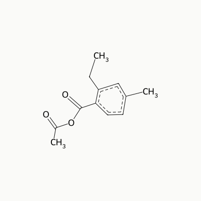 CCc1cc(C)ccc1C(=O)OC(C)=O